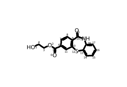 O=C(OCCO)c1ccc2c(c1)Sc1ccccc1NC2=O